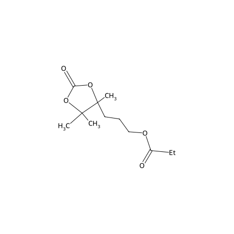 CCC(=O)OCCCC1(C)OC(=O)OC1(C)C